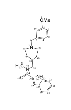 COc1cccc(CN2CCC(CN(C)C(=O)C3=CC4CC=CC=C4N3)CC2)c1